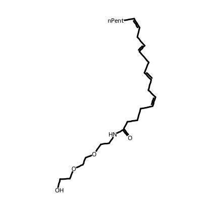 CCCCC/C=C\CC=CCC=CC/C=C\CCCC(=O)NCCOCCOCCO